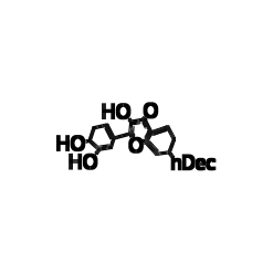 CCCCCCCCCCC1C=c2oc(C3=CCC(O)C(O)=C3)c(O)c(=O)c2=CC1